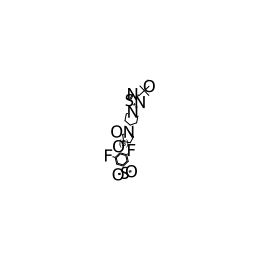 COC(C)(C)c1nsc(N2CCC(N3CC[C@H](Oc4c(F)cc(S(C)(=O)=O)cc4F)C3=O)CC2)n1